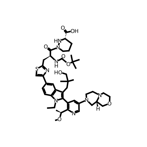 CCn1c(-c2cc(N3CCN4CCOC[C@@H]4C3)cnc2[C@H](C)OC)c(CC(C)(C)CO)c2cc(-c3csc(C[C@H](NC(=O)OC(C)(C)C)C(=O)N4CCC[C@@H](C(=O)O)N4)n3)ccc21